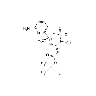 CN1/C(=N/C(=O)OC(C)(C)C)N[C@](C)(c2cccc(N)n2)CS1(=O)=O